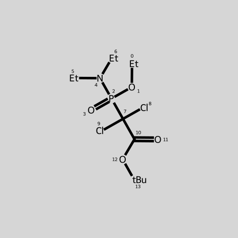 CCOP(=O)(N(CC)CC)C(Cl)(Cl)C(=O)OC(C)(C)C